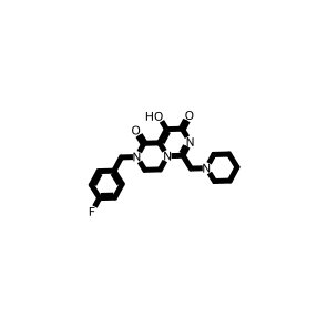 O=C1c2c(O)c(=O)nc(CN3CCCCC3)n2CCN1Cc1ccc(F)cc1